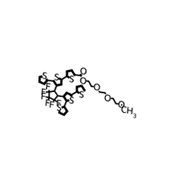 COCCOCCOCCOC(=O)c1ccc(-c2cc(C3C(c4cc(-c5cccs5)sc4-c4cccs4)C(F)(F)C(F)(F)C3(F)F)c(-c3cccs3)s2)s1